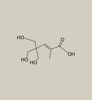 C/C(=C\C(CO)(CO)CO)C(=O)O